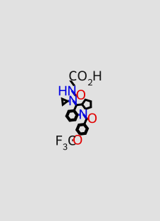 O=C(O)CCNC(=O)N(C1CC1)C1c2ccccc2N(C(=O)c2ccc(OC(F)(F)F)cc2)C2CCCC21